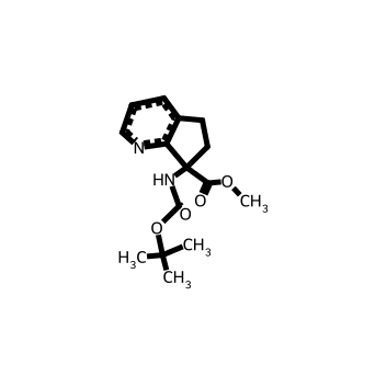 COC(=O)C1(NC(=O)OC(C)(C)C)CCc2cccnc21